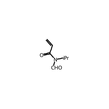 C=CC(=O)N(C=O)C(C)C